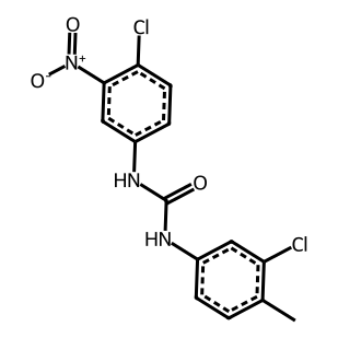 Cc1ccc(NC(=O)Nc2ccc(Cl)c([N+](=O)[O-])c2)cc1Cl